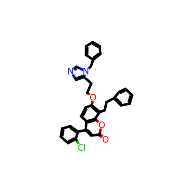 O=c1cc(-c2ccccc2Cl)c2ccc(OCCc3cncn3Cc3ccccc3)c(CCc3ccccc3)c2o1